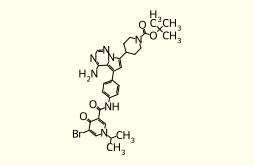 CC(C)n1cc(Br)c(=O)c(C(=O)Nc2ccc(-c3cc(C4CCN(C(=O)OC(C)(C)C)CC4)n4ncnc(N)c34)cc2)c1